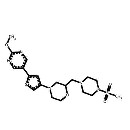 COc1ncc(-c2cc(N3CCOC(CN4CCN(S(C)(=O)=O)CC4)C3)cs2)cn1